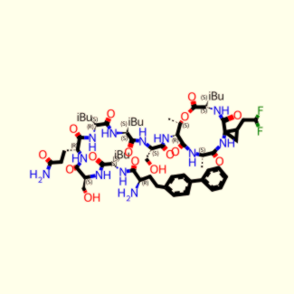 CC[C@H](C)[C@H](NC(=O)[C@H](N)CCc1ccc(-c2ccccc2)cc1)C(=O)N[C@@H](CO)C(=O)N[C@H](CCC(N)=O)C(=O)N[C@@H](C(=O)N[C@H](C(=O)N[C@@H](CO)C(=O)N[C@H]1C(=O)N[C@@H](C)C(=O)NC2(CC2CC(F)F)C(=O)N[C@@H]([C@@H](C)CC)C(=O)O[C@H]1C)[C@@H](C)CC)[C@@H](C)CC